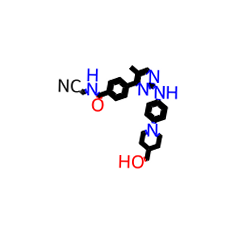 Cc1cnc(Nc2ccc(N3CCC(CO)CC3)cc2)nc1-c1ccc(C(=O)NCC#N)cc1